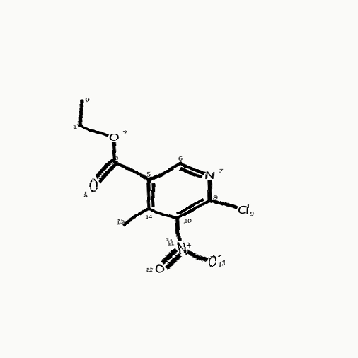 CCOC(=O)c1cnc(Cl)c([N+](=O)[O-])c1C